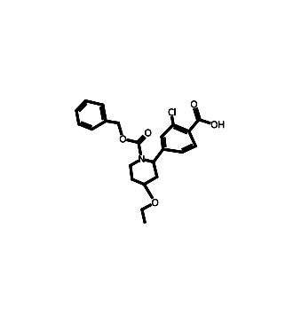 CCOC1CCN(C(=O)OCc2ccccc2)C(c2ccc(C(=O)O)c(Cl)c2)C1